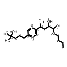 CCCCOC(O)C(O)CC(O)c1cnc(CCCC(O)(O)O)cn1